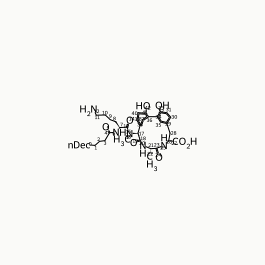 CCCCCCCCCCCCCC(=O)N[C@@H](CCCCN)C(=O)N(C)[C@@H]1C(=O)N[C@@H](C)C(=O)N[C@H](C(=O)O)Cc2ccc(O)c(c2)-c2cc1ccc2O